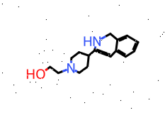 OCCN1CCC(C2=Cc3ccccc3CN2)CC1